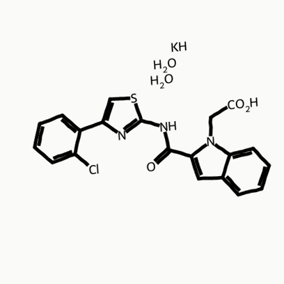 O.O.O=C(O)Cn1c(C(=O)Nc2nc(-c3ccccc3Cl)cs2)cc2ccccc21.[KH]